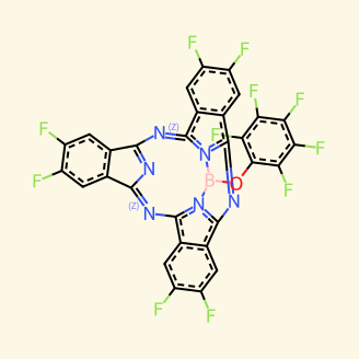 Fc1cc2c(cc1F)/C1=N/c3c4cc(F)c(F)cc4c4n3B(Oc3c(F)c(F)c(F)c(F)c3F)n3c(c5cc(F)c(F)cc5/c3=N/C2=N1)=N4